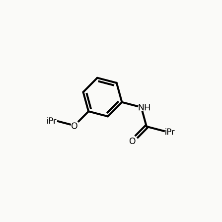 CC(C)Oc1cccc(NC(=O)C(C)C)c1